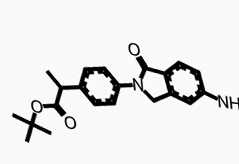 CC(C(=O)OC(C)(C)C)c1ccc(N2Cc3cc(N)ccc3C2=O)cc1